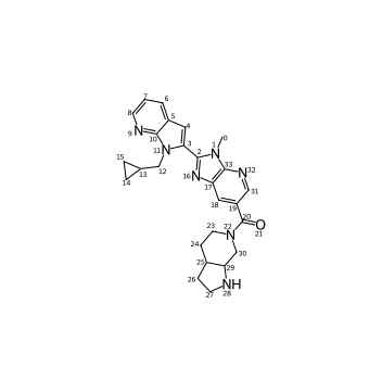 Cn1c(-c2cc3cccnc3n2CC2CC2)nc2cc(C(=O)N3CCC4CCNC4C3)cnc21